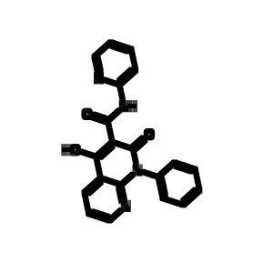 O=C(Nc1ccccn1)c1c(O)c2cccnc2n(-c2ccccc2)c1=O